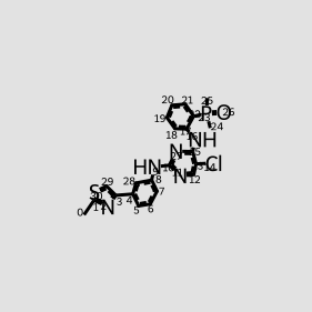 Cc1nc(-c2cccc(Nc3ncc(Cl)c(Nc4ccccc4P(C)(C)=O)n3)c2)cs1